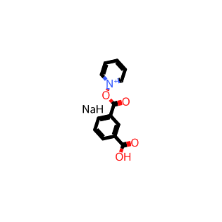 O=C(O)c1cccc(C(=O)O[n+]2ccccc2)c1.[NaH]